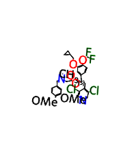 COc1ccc(CN(C)CC(=O)O[C@@H](Cc2c(Cl)cncc2Cl)c2ccc(OC(F)F)c(OCC3CC3)c2)cc1OC